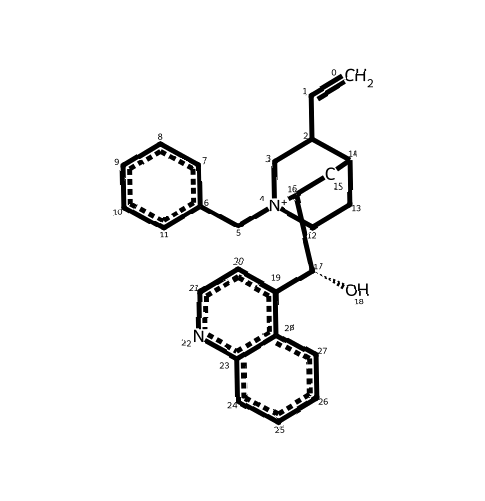 C=CC1C[N+]2(Cc3ccccc3)CCC1CC2[C@H](O)c1ccnc2ccccc12